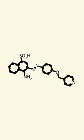 Nc1c(N=Nc2ccc(OCc3ccncc3)cc2)cc(S(=O)(=O)O)c2ccccc12